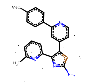 COc1ccc(-c2cc(-c3sc(N)nc3-c3cccc(C)n3)ccn2)cc1